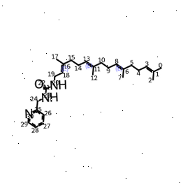 CC(C)=CCC/C(C)=C/CC/C(C)=C/CC/C(C)=C/CNC(=O)NCc1ccccn1